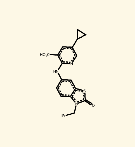 CC(C)Cn1c(=O)sc2cc(Nc3ncc(C4CC4)cc3C(=O)O)ccc21